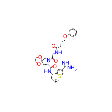 CC(C)C[C@@H](NC(=O)C1CC2(CN1C(=O)CNC(=O)CCCOc1ccccc1)OCCO2)c1cc(C(=N)N)cs1